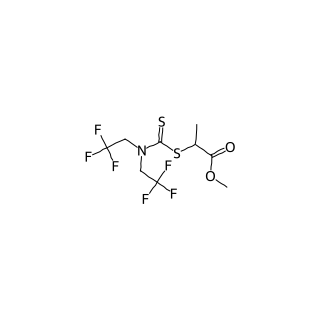 COC(=O)C(C)SC(=S)N(CC(F)(F)F)CC(F)(F)F